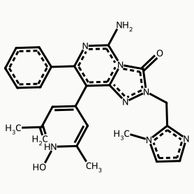 C=C(C)/C=C(\C=C(\C)NO)c1c(-c2ccccc2)nc(N)n2c(=O)n(Cc3nccn3C)nc12